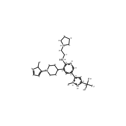 CC1N=CC=C1N1CCC(c2cc(-c3cc(C(F)(F)F)nn3C)cnc2NCCN2CCCC2)CC1